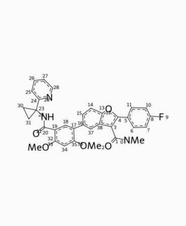 CNC(=O)c1c(-c2ccc(F)cc2)oc2ccc(-c3cc(C(=O)NC4(c5ccccn5)CC4)c(OC)cc3OC)cc12